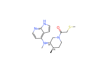 CSCC(=O)N1CC[C@@H](C)[C@@H](N(C)c2ccnc3[nH]ccc23)C1